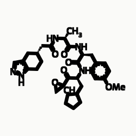 COc1ccc(C[C@H](NC(=O)[C@@H](C)NC(=O)C[C@@H]2CCc3[nH]ncc3C2)C(=O)N[C@@H](CC2CCCC2)C(=O)[C@]2(C)CO2)cc1